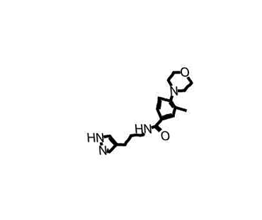 Cc1cc(C(=O)NCCCc2cn[nH]c2)ccc1N1CCOCC1